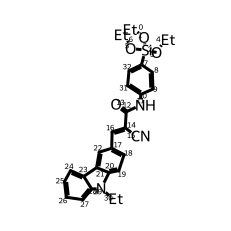 CCO[Si](OCC)(OCC)c1ccc(NC(=O)/C(C#N)=C/c2ccc3c(c2)c2ccccc2n3CC)cc1